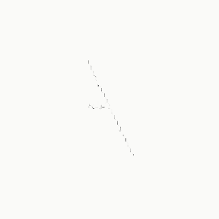 CCCCCC/C=C/COC(=O)CCCCCCCC(CCCCCCCC(=O)OC/C=C/CCCCCC)OC(=O)CCCN(C)C